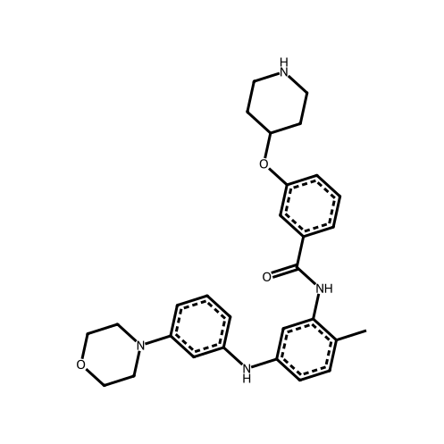 Cc1ccc(Nc2cccc(N3CCOCC3)c2)cc1NC(=O)c1cccc(OC2CCNCC2)c1